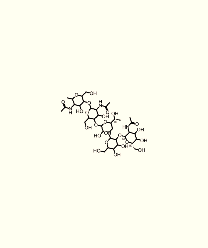 CC(=O)NC1C(C)OC(CO)C(OC2OC(CO)C(OC(OC(COC3OC(CO)C(O)C(O)C3O[C@@H]3O[C@@H](CO)C(O)C(O)C3NC(C)=O)[C@H](C)O)C(O)O)C(O)C2NC(C)=O)C1O